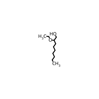 CCCCCCCC(CO)OCC